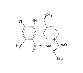 COC(=O)c1cc(N[C@@H](C)C2CCN(C(=O)OC(C)(C)C)CC2)c(Cl)cc1C